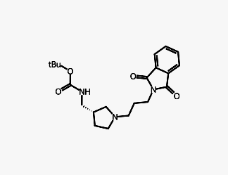 CC(C)(C)OC(=O)NC[C@H]1CCN(CCCN2C(=O)c3ccccc3C2=O)C1